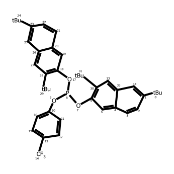 CC(C)(C)c1ccc2cc(OP(Oc3ccc(C(F)(F)F)cc3)Oc3cc4ccc(C(C)(C)C)cc4cc3C(C)(C)C)c(C(C)(C)C)cc2c1